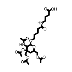 CC(=O)NC1C(OCCCCC(=O)NCCCC(=O)O)OC(COC(C)=O)CC1(COC(C)=O)OC(C)=O